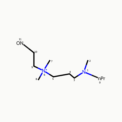 CCCN(C)CCC[N+](C)(C)CCN=O